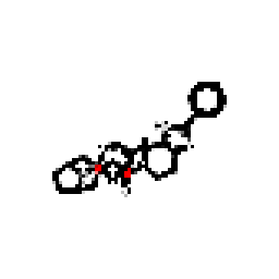 O=C(CN1CC2CCC(C1)N2c1ncc(F)cn1)N1CCc2nc(-c3ccccc3)[nH]c2C1